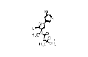 CN(C(=O)OC(C)(C)C)c1cn(-c2cncc(Br)c2)nc1Cl